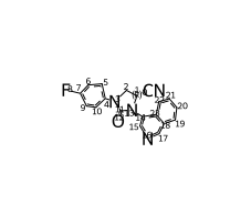 N#C[C@H]1CN(c2ccc(F)cc2)C(=O)N1c1cncc2ccccc12